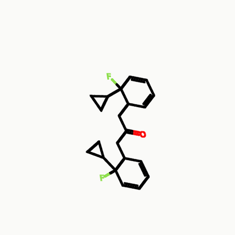 O=C(CC1C=CC=CC1(F)C1CC1)CC1C=CC=CC1(F)C1CC1